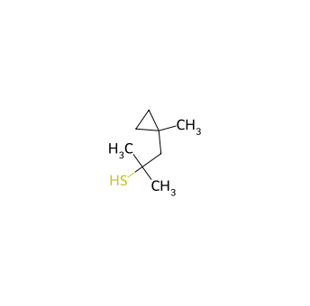 CC(C)(S)CC1(C)CC1